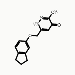 O=c1cc(COc2ccc3c(c2)CCC3)[nH]nc1O